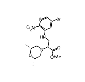 COC(=O)C(CNc1cc(Br)cnc1[N+](=O)[O-])N1C[C@@H](C)O[C@@H](C)C1